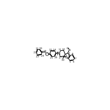 [CH2]CC(c1ccccc1)C1CCN(c2ccc(OCc3ccccc3)cc2)CC1(C)C